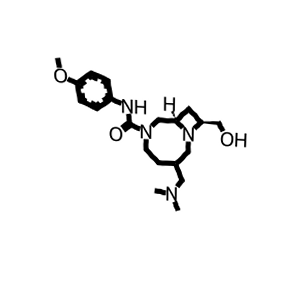 COc1ccc(NC(=O)N2CCC(CN(C)C)CN3[C@H](CO)C[C@@H]3C2)cc1